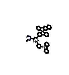 C=C/C=C(\C=C/C)c1cc(-c2ccc3c(c2)-c2ccccc2C32c3ccccc3-c3cc4ccccc4cc32)nc(-c2cccc(-n3c4ccccc4c4ccccc43)c2)n1